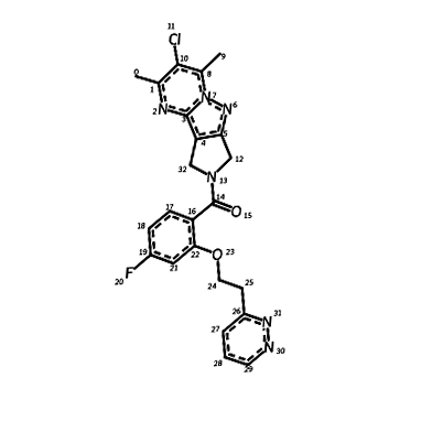 Cc1nc2c3c(nn2c(C)c1Cl)CN(C(=O)c1ccc(F)cc1OCCc1cccnn1)C3